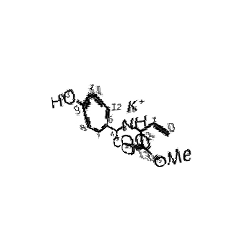 C=CC(NC(C(=O)[O-])c1ccc(O)cc1)C(=O)OC.[K+]